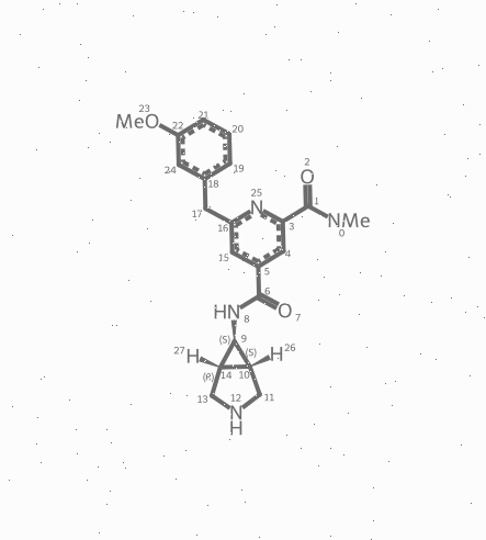 CNC(=O)c1cc(C(=O)N[C@H]2[C@@H]3CNC[C@@H]32)cc(Cc2cccc(OC)c2)n1